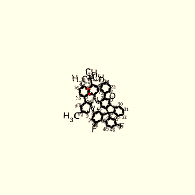 Cc1cnc(N(c2ccc(C(C)(C)C)cc2)c2cc3c(c4oc5ccccc5c24)-c2ccccc2C3(c2cccc(F)c2)c2cccc(F)c2)c(-c2ccccc2)c1